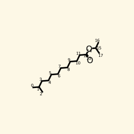 CC(C)CCCCCCCCCC(=O)OC(C)C